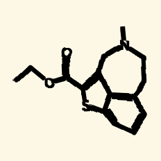 CCOC(=O)c1sc2cccc3c2c1CN(C)CC3